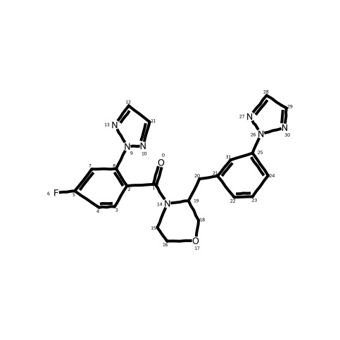 O=C(c1ccc(F)cc1-n1nccn1)N1CCOCC1Cc1cccc(-n2nccn2)c1